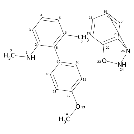 CNc1cccc(C)c1-c1ccc(OC)cc1.c1cc2cc3c1o[nH]n2-3